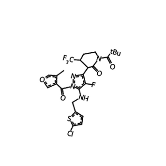 Cc1cocc1C(=O)n1nc(C2C(=O)N(C(=O)C(C)(C)C)CCC2C(F)(F)F)c(F)c1NCc1ccc(Cl)s1